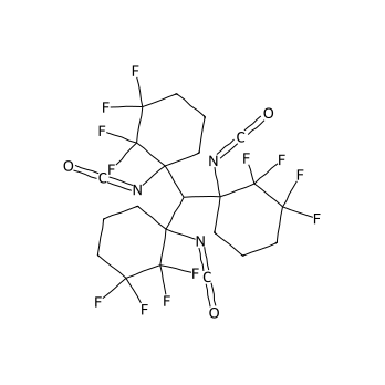 O=C=NC1(C(C2(N=C=O)CCCC(F)(F)C2(F)F)C2(N=C=O)CCCC(F)(F)C2(F)F)CCCC(F)(F)C1(F)F